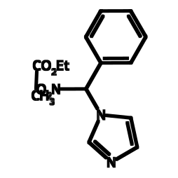 CCOC(C)=O.O=[N+]([O-])C(c1ccccc1)n1ccnc1